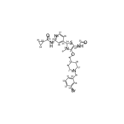 CN1C(OCC2CCN(Cc3cccc(Br)c3)CC2)=C(NC=O)SC1c1ccnc(NC(=O)C2CC2)c1